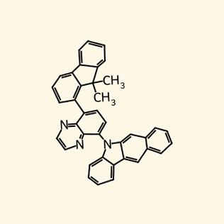 CC1(C)c2ccccc2-c2cccc(-c3ccc(-n4c5ccccc5c5cc6ccccc6cc54)c4nccnc34)c21